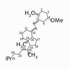 C=C1CCC(OC)C/C1=C\C=C1/CCCC2(C)C1CCC2C(C)CCCC(C)C